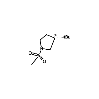 CC(C)(C)[C@H]1CCN(S(C)(=O)=O)C1